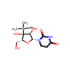 CC(C)(C)[Si](C)(C)[C@@]1(O)[C@@H](CO)O[C@@H](n2ccc(=O)[nH]c2=O)[C@@H]1O